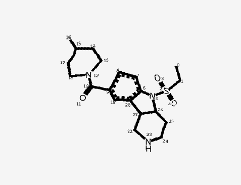 CCS(=O)(=O)N1c2ccc(C(=O)N3CCC(C)CC3)cc2C2CNCCC21